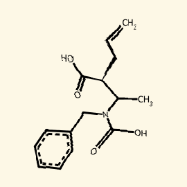 C=CC[C@H](C(=O)O)C(C)N(Cc1ccccc1)C(=O)O